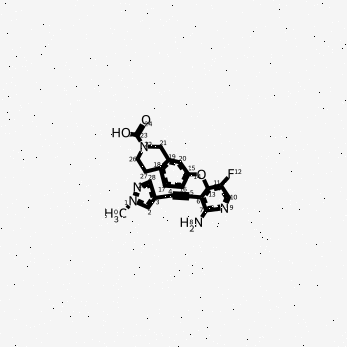 Cn1cc(C#Cc2c(N)ncc(F)c2Oc2ccc3c(c2)CN(C(=O)O)CC3)cn1